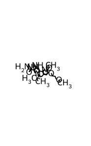 COCCCOc1cc2c(nc1OC)-c1cc(=N)c(C(=O)NN)cn1[C@H](C(C)C)C2